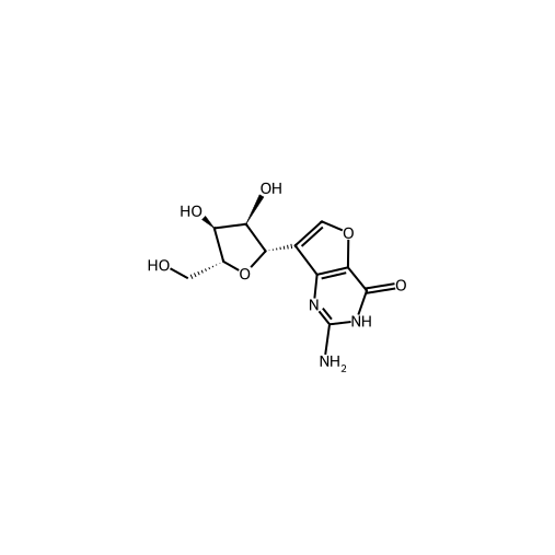 Nc1nc2c([C@@H]3O[C@H](CO)[C@@H](O)[C@H]3O)coc2c(=O)[nH]1